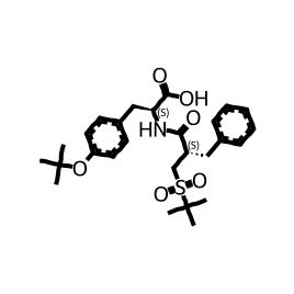 CC(C)(C)Oc1ccc(C[C@H](NC(=O)[C@H](Cc2ccccc2)CS(=O)(=O)C(C)(C)C)C(=O)O)cc1